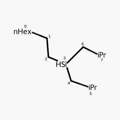 CCCCCCCC[SiH](CC(C)C)CC(C)C